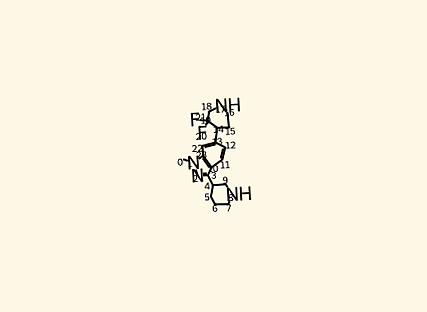 Cn1nc(C2CCCNC2)c2ccc(C3CCNCC3(F)F)cc21